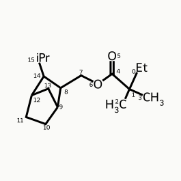 CCC(C)(C)C(=O)OCC1C2CCC(C2)C1C(C)C